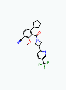 COc1c(C#N)ccc(C2CCCC2)c1C(=O)N1CC(c2ccc(C(F)(F)F)cn2)C1